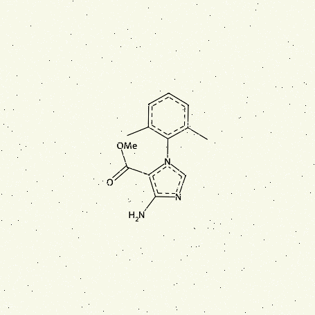 COC(=O)c1c(N)ncn1-c1c(C)cccc1C